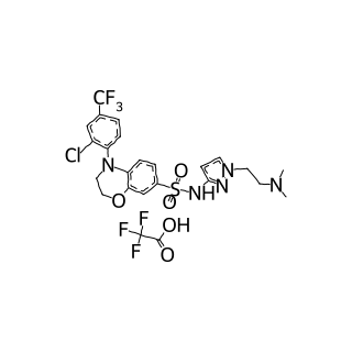 CN(C)CCn1ccc(NS(=O)(=O)c2ccc3c(c2)OCCN3c2ccc(C(F)(F)F)cc2Cl)n1.O=C(O)C(F)(F)F